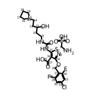 NCS(=O)(=O)O.O=C(NCCC(O)CCN1CCCC1)Nc1snc(OCc2c(F)cc(Cl)cc2F)c1C(=O)O